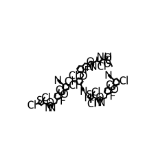 CCOC(=O)c1[nH]cc(-c2nnc(Cc3ccc(Cl)c(Oc4cc(Cl)cc(C#N)c4)c3F)o2)c1Cl.N#Cc1cc(Cl)cc(Oc2c(Cl)ccc(Cc3nnc(-c4c(Cl)nsc4Cl)o3)c2F)c1.N#Cc1cc(Cl)cc(Oc2c(Cl)ccc(Cc3nnc(-c4cc(Cl)sc4Cl)o3)c2F)c1